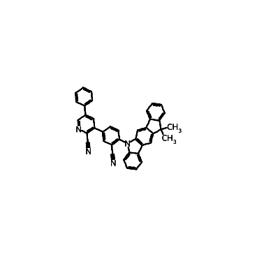 CC1(C)c2ccccc2-c2cc3c(cc21)c1ccccc1n3-c1ccc(-c2cc(-c3ccccc3)cnc2C#N)cc1C#N